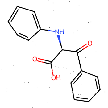 O=C(O)[C@@H](Nc1ccccc1)C(=O)c1ccccc1